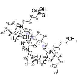 CCCCC[N+]1=C(/C=C/C2=C(Sc3nnnn3-c3ccccc3)C(=C/C=C3/N(CCCCS(=O)(=O)O)c4ccc(I)cc4C3(C)C)/CC2)C(C)(C)c2cc(I)ccc21